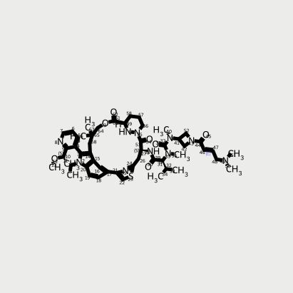 CCn1c(-c2cccnc2[C@H](C)OC)c2c3cc(ccc31)-c1csc(n1)C[C@H](NC(=O)[C@H](C(C)C)N(C)C(=O)N(C)C1CN(C(=O)/C=C/CN(C)C)C1)C(=O)N1CCC[C@H](N1)C(=O)OCC(C)(C)C2